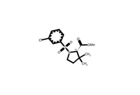 COC(=O)[C@H]1N(S(=O)(=O)c2cccc(Cl)c2)CCC1(C)C